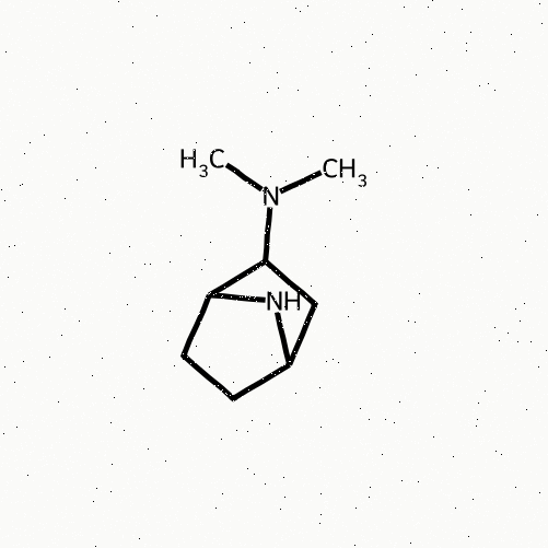 CN(C)C1CC2CCC1N2